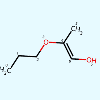 CCCOC(C)=CO